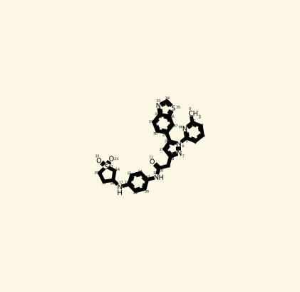 Cc1cccc(-n2nc(CC(=O)Nc3ccc(NC4CCS(=O)(=O)C4)cc3)cc2-c2ccc3ncsc3c2)n1